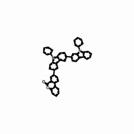 O=c1oc2ccccc2c2ccc(-c3ccc4c(c3)c3cc(-c5ccc6c7ccccc7n(-c7ccccc7)c6c5)ccc3n4-c3ccccc3)cc12